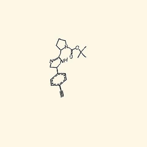 C#Cc1ccc(C2CN=C(C3CCCN3C(=O)OC(C)(C)C)N2)cc1